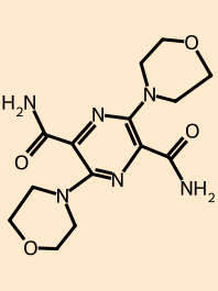 NC(=O)c1nc(N2CCOCC2)c(C(N)=O)nc1N1CCOCC1